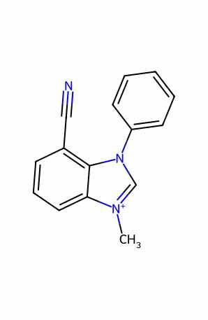 C[n+]1cn(-c2ccccc2)c2c(C#N)cccc21